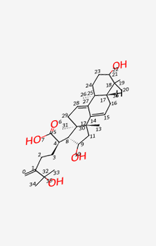 C=C(CC[C@@H](C(=O)O)[C@H]1C(O)C[C@@]2(C)C3=CC[C@H]4C(C)(C)C(O)CC[C@]4(C)C3=CC[C@]12C)C(C)(C)O